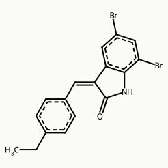 CCc1ccc(C=C2C(=O)Nc3c(Br)cc(Br)cc32)cc1